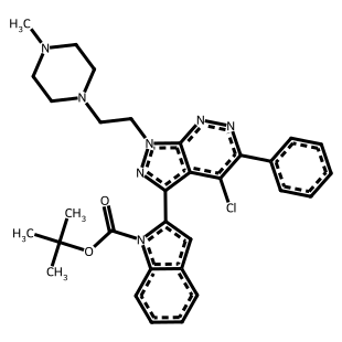 CN1CCN(CCn2nc(-c3cc4ccccc4n3C(=O)OC(C)(C)C)c3c(Cl)c(-c4ccccc4)nnc32)CC1